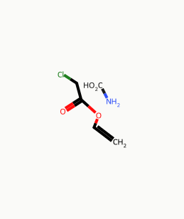 C=COC(=O)CCl.NC(=O)O